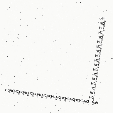 Cl.Cl.Cl.Cl.Cl.Cl.Cl.Cl.Cl.Cl.Cl.Cl.Cl.Cl.Cl.Cl.Cl.Cl.Cl.Cl.Cl.Cl.Cl.Cl.Cl.Cl.Cl.Cl.Cl.Cl.Cl.Cl.Cl.Cl.Cl.Cl.[NaH]